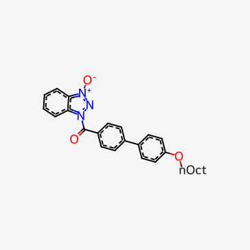 CCCCCCCCOc1ccc(-c2ccc(C(=O)n3n[n+]([O-])c4ccccc43)cc2)cc1